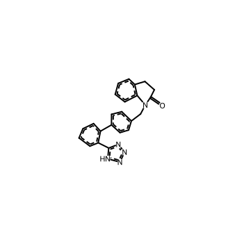 O=C1CCc2ccccc2N1Cc1ccc(-c2ccccc2-c2nnn[nH]2)cc1